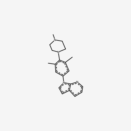 Cc1cc(-n2ccc3cccnc32)cc(C)c1N1CCN(C)CC1